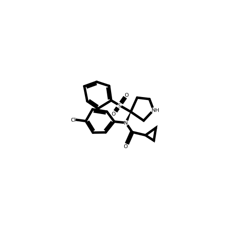 O=C(C1CC1)N(c1ccc(Cl)cc1)[C@@]1(S(=O)(=O)c2ccccc2)CCNC1